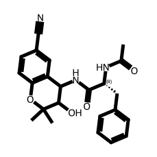 CC(=O)N[C@H](Cc1ccccc1)C(=O)NC1c2cc(C#N)ccc2OC(C)(C)C1O